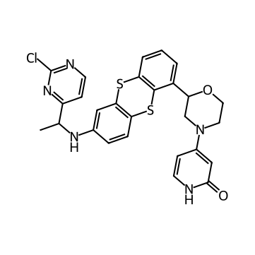 CC(Nc1ccc2c(c1)Sc1cccc(C3CN(c4cc[nH]c(=O)c4)CCO3)c1S2)c1ccnc(Cl)n1